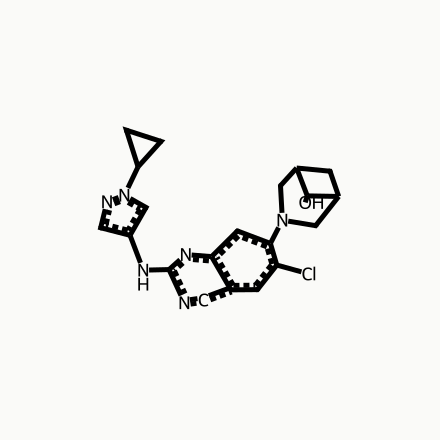 OC1C2CC1CN(c1cc3nc(Nc4cnn(C5CC5)c4)ncc3cc1Cl)C2